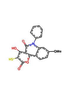 COc1ccc2c3oc(=O)c(S)c(O)c3c(=O)n(-c3ccccc3)c2c1